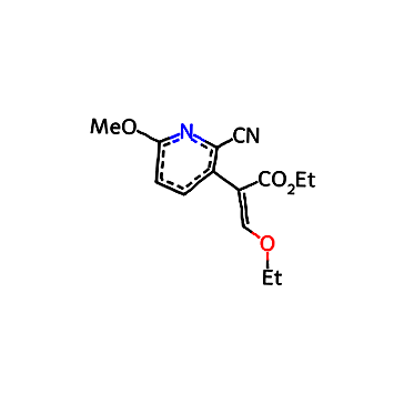 CCO/C=C(\C(=O)OCC)c1ccc(OC)nc1C#N